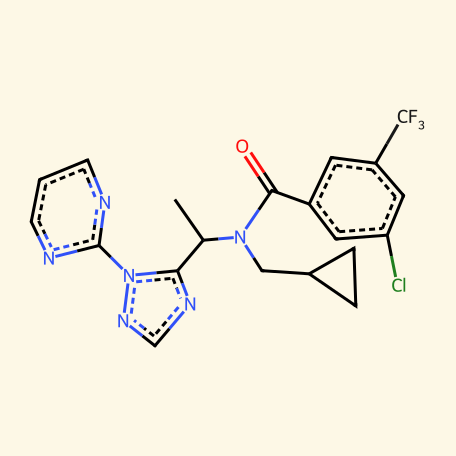 CC(c1ncnn1-c1ncccn1)N(CC1CC1)C(=O)c1cc(Cl)cc(C(F)(F)F)c1